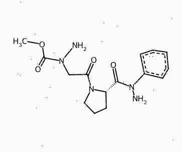 COC(=O)N(N)CC(=O)N1CCC[C@H]1C(=O)N(N)c1ccccc1